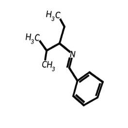 CCC(/N=C/c1ccccc1)C(C)C